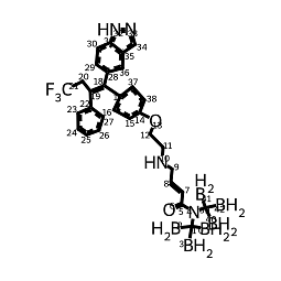 BC(B)(B)N(C(=O)/C=C/CNCCOc1ccc(/C(=C(/CC(F)(F)F)c2ccccc2)c2ccc3[nH]ncc3c2)cc1)C(B)(B)B